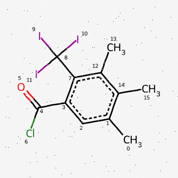 Cc1cc(C(=O)Cl)c(C(I)(I)I)c(C)c1C